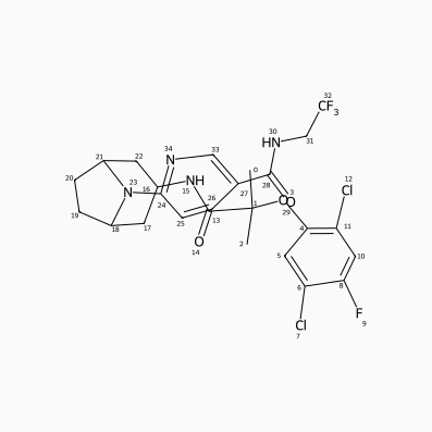 CC(C)(Oc1cc(Cl)c(F)cc1Cl)C(=O)NC1CC2CCC(C1)N2c1ccc(C(=O)NCC(F)(F)F)cn1